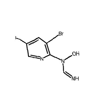 N=CN(O)c1ncc(I)cc1Br